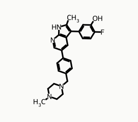 Cc1[nH]c2ncc(-c3ccc(CN4CCN(C)CC4)cc3)cc2c1-c1ccc(F)c(O)c1